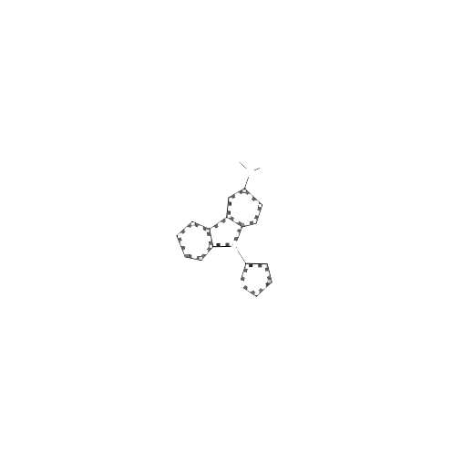 OB(O)c1ccc2c(c1)c1ccccc1n2-c1cccs1